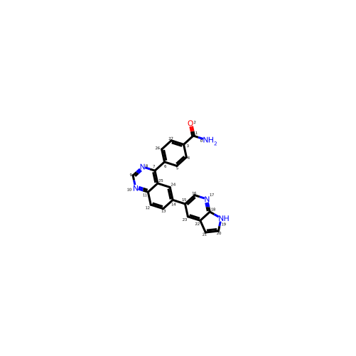 NC(=O)c1ccc(-c2ncnc3ccc(-c4cnc5[nH]ccc5c4)cc23)cc1